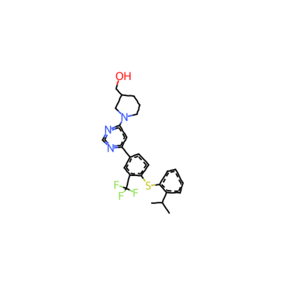 CC(C)c1ccccc1Sc1ccc(-c2cc(N3CCCC(CO)C3)ncn2)cc1C(F)(F)F